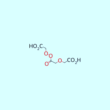 O=C(O)COCC(=O)OOCC(=O)O